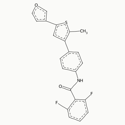 Cc1sc(-c2ccoc2)cc1-c1ccc(NC(=O)c2c(F)cccc2F)cc1